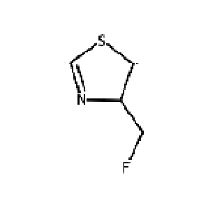 FCC1[CH]S[C]=N1